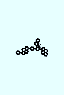 c1ccc(-c2ccc3ccc4c(-c5ccc(-c6ccc(-c7ccc8ccc9cccc%10ccc7c8c9%10)c7oc8c9ccccc9ccc8c67)cc5)ccc5ccc2c3c54)cc1